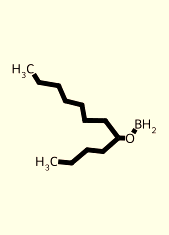 BOC(CCCC)CCCCCCC